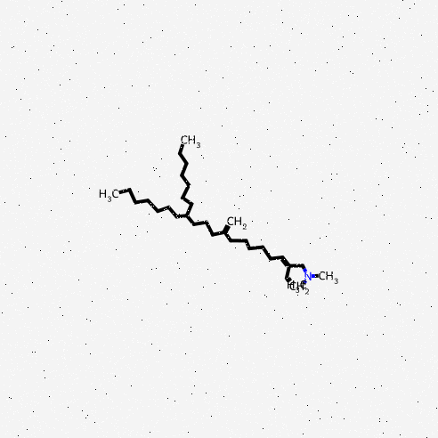 C=C/C(=C\CCCCCC(=C)CCCC(CCCCCCC)CCCCCCC)CN(C)C